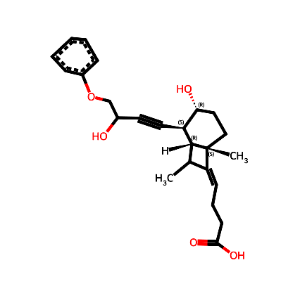 CC1C(=CCCC(=O)O)[C@@]2(C)CC[C@@H](O)[C@H](C#CC(O)COc3ccccc3)[C@@H]12